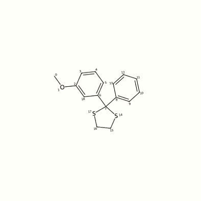 COc1cccc(C2(c3ccccc3)SCCS2)c1